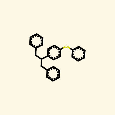 c1ccc(CC(Cc2ccccc2)c2ccc(Sc3ccccc3)cc2)cc1